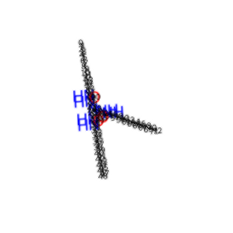 CCCCCCCCCCCCCCCCCCNC(=O)NCCN(CCNC(=O)NCCCCCCCCCCCCCCCCCC)CCNC(=O)NCCCCCCCCCCCCCCCCCC